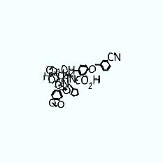 N#Cc1cccc(COc2ccc(C[C@H](NC(=O)O)[C@@H](O)C([C@@H]3CO[C@H]4OCC[C@H]43)N(CC3CCCC3)S(=O)(=O)c3ccc4c(c3)OCO4)cc2)c1